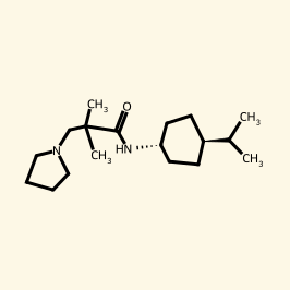 CC(C)[C@H]1CC[C@H](NC(=O)C(C)(C)CN2CCCC2)CC1